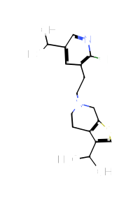 CC(C)c1cnc(Cl)c(CCN2CCc3c(C(C)C)csc3C2)c1